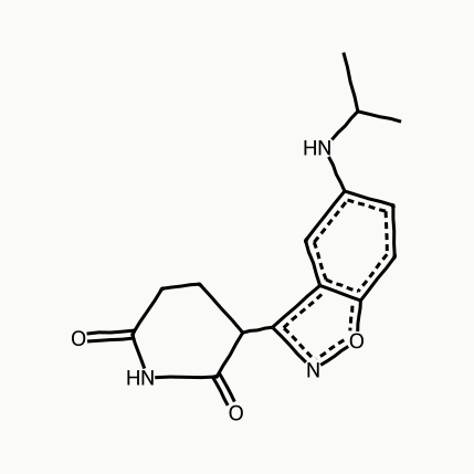 CC(C)Nc1ccc2onc(C3CCC(=O)NC3=O)c2c1